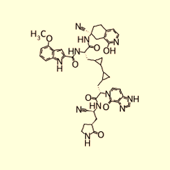 COc1cccc2[nH]c(C(=O)N[C@@H](CC3CC3C3CC3C[C@@H](C(=O)N[C@H](C#N)C[C@@H]3CCNC3=O)n3ccc4[nH]cnc4c3=O)C(=O)N[C@@]3(C#N)CCc4ccnc(O)c4C3)cc12